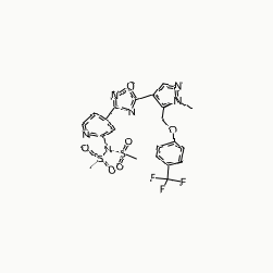 Cn1ncc(-c2nc(-c3ccnc(N(S(C)(=O)=O)S(C)(=O)=O)c3)no2)c1COc1ccc(C(F)(F)F)cc1